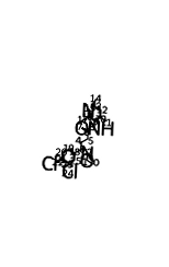 CON=C(CCC(=O)Nc1c(C)cc(C)nc1C)c1ccc(Cl)c(Cl)c1